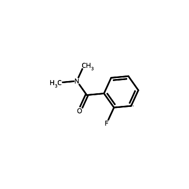 CN(C)C(=O)c1ccc[c]c1F